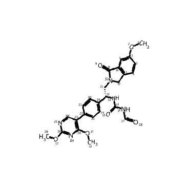 COc1ccc2c(c1)C(=O)N(C[C@H](NC(=O)NC=O)c1ccc(-c3cnc(OC)nc3OC)cc1)C2